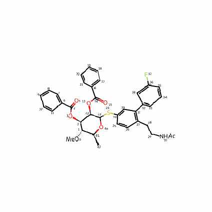 CO[C@@H]1[C@@H](OC(=O)c2ccccc2)[C@@H](OC(=O)c2ccccc2)C(Sc2ccc(CCNC(C)=O)c(-c3cccc(F)c3)c2)O[C@H]1C